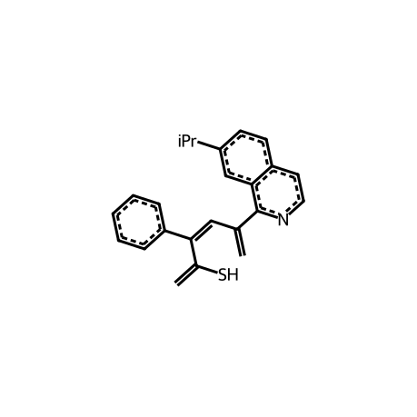 C=C(S)/C(=C\C(=C)c1nccc2ccc(C(C)C)cc12)c1ccccc1